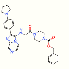 O=C(CNc1c(-c2ccc(N3CCCC3)cc2)nc2cnccn12)N1CCN(C(=O)OCc2ccccc2)CC1